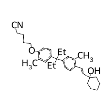 CCC(CC)(c1ccc(C=CC2(O)CCCCC2)c(C)c1)c1ccc(OCCCCC#N)c(C)c1